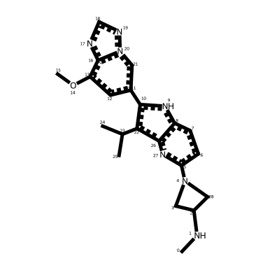 CNC1CN(c2ccc3[nH]c(-c4cc(OC)c5ncnn5c4)c(C(C)C)c3n2)C1